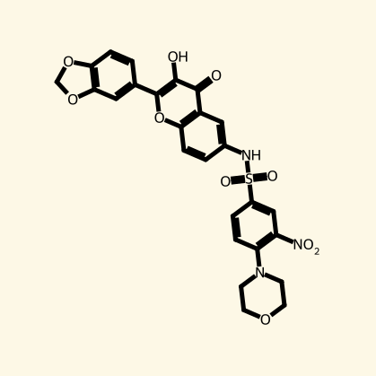 O=c1c(O)c(-c2ccc3c(c2)OCO3)oc2ccc(NS(=O)(=O)c3ccc(N4CCOCC4)c([N+](=O)[O-])c3)cc12